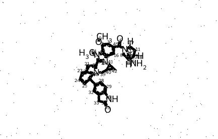 COc1cc(C(=O)N2C[C@H]3CC[C@@H]2C[C@@H]3N)cc2nc(-c3cc4cccc(-c5ccc6c(c5)CC(=O)N6)c4n3CC3CC3)n(C)c12